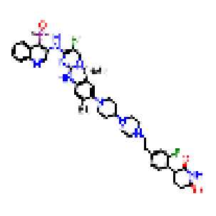 CCc1cc(Nc2ncc(Br)c(Nc3cnc4ccccc4c3P(C)(C)=O)n2)c(OC)cc1N1CCC(N2CCN(CCc3ccc(C4CCC(=O)NC4=O)c(F)c3)CC2)CC1